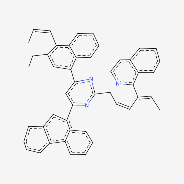 C/C=C\c1c(CC)cc(-c2cc(-c3cc4ccccc4c4ccccc34)nc(C/C=C\C(=C/C)c3nccc4ccccc34)n2)c2ccccc12